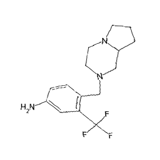 Nc1ccc(CN2CCN3CCCC3C2)c(C(F)(F)F)c1